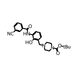 CC(C)(C)OC(=O)N1CCN(Cc2cccc(NC(=O)c3cccc(C#N)c3)c2O)CC1